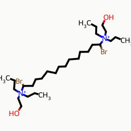 CCC[N+](CCC)(CCO)C(Br)CCCCCCCCCCCCC(Br)[N+](CCC)(CCC)CCO